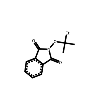 CCC(C)(C)ON1C(=O)c2ccccc2C1=O